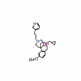 COc1ccc2c(c1)C13CCN(CCCc4cccnc4)CCC1(O)C(C2)N(CC1CC1)CC3